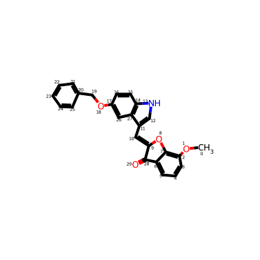 COc1cccc2c1O/C(=C\c1c[nH]c3ccc(OCc4ccccc4)cc13)C2=O